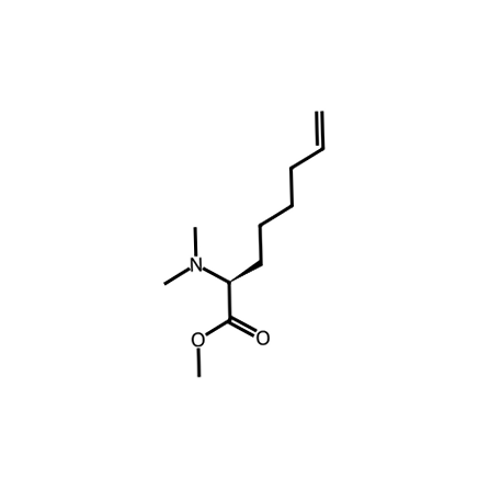 C=CCCCC[C@@H](C(=O)OC)N(C)C